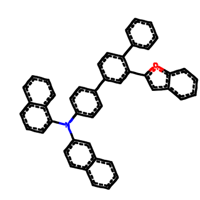 c1ccc(-c2ccc(-c3ccc(N(c4ccc5ccccc5c4)c4cccc5ccccc45)cc3)cc2-c2cc3ccccc3o2)cc1